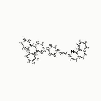 C(#Cc1ccc2ccc3cccnc3c2n1)c1ccc(-c2ccc3c4ccccc4c4ccccc4c3c2)cc1